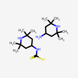 CC1(C)CC(N)CC(C)(C)N1.CC1(C)CC(NC(=S)S)CC(C)(C)N1